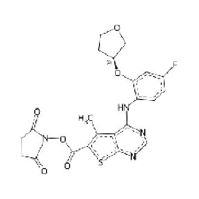 Cc1c(C(=O)ON2C(=O)CCC2=O)sc2ncnc(Nc3ccc(F)cc3O[C@H]3CCOC3)c12